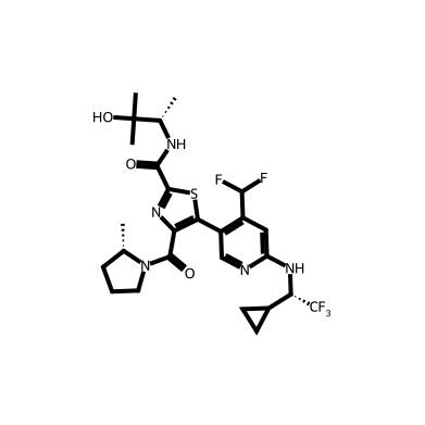 C[C@H](NC(=O)c1nc(C(=O)N2CCC[C@@H]2C)c(-c2cnc(N[C@@H](C3CC3)C(F)(F)F)cc2C(F)F)s1)C(C)(C)O